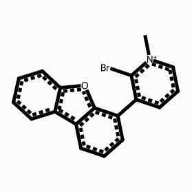 C[n+]1cccc(-c2cccc3c2oc2ccccc23)c1Br